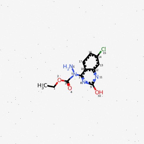 CCOC(=O)N(N)c1nc(O)nc2cc(Cl)ccc12